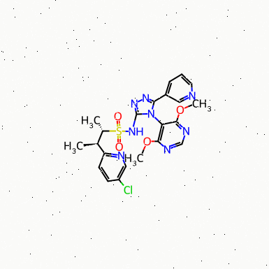 COc1ncnc(OC)c1-n1c(NS(=O)(=O)[C@@H](C)[C@H](C)c2ccc(Cl)cn2)nnc1-c1cccnc1